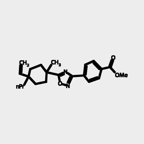 C=CC1(CCC)CCC(C)(c2nc(-c3ccc(C(=O)OC)cc3)no2)CC1